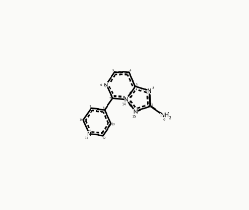 Nc1nc2ccnc(-c3ccncc3)n2n1